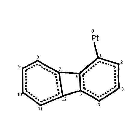 [Pt][c]1cccc2c1-c1ccccc1-2